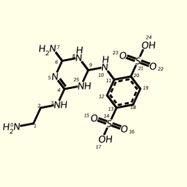 NCCNC1=NC(N)NC(Nc2cc(S(=O)(=O)O)ccc2S(=O)(=O)O)N1